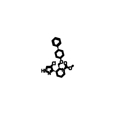 COC(=O)N1CCC[C@H](c2n[nH]cc2Cl)[C@@H]1CO[C@H]1CC[C@@H](c2ccccc2)CC1